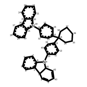 C1=CC2c3ccccc3N(c3ccc(C4(c5ccc(-n6c7ccccc7c7ccccc76)cc5)CCCCC4)cc3)C2C=C1